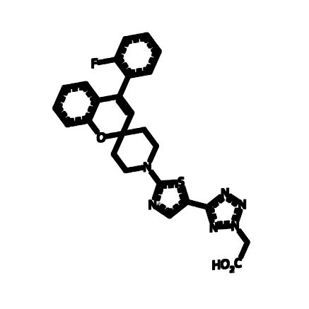 O=C(O)Cn1nnc(-c2cnc(N3CCC4(C=C(c5ccccc5F)c5ccccc5O4)CC3)s2)n1